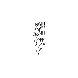 C/C=C/c1ccc(C(=O)Nc2cn[nH]c2)nc1